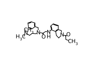 CCC(=O)N1CCc2c(cccc2NCC(=O)N(CCCN(C)C)Cc2ccccc2)C1